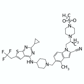 Cc1c(CN2CCC(Nc3nc(C4CC4)nc4sc(CC(F)(F)F)cc34)CC2)ccc2c1cc(C#N)n2C[C@H](C)N1CCN(S(C)(=O)=O)CC1